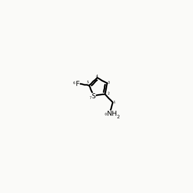 NCc1ccc(F)s1